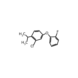 CC(C)c1ccc(Oc2ccccc2F)cc1Cl